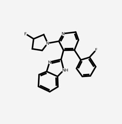 Fc1ccccc1-c1ccnc(N2CCC(F)C2)c1-c1nc2ccccc2[nH]1